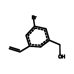 C=Cc1cc(Br)cc(CO)c1